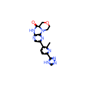 Cc1nc(-c2nnc[nH]2)ccc1-c1cnc2c(n1)N1CCOCC1C(=O)N2